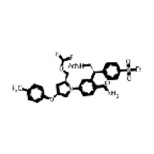 CCS(=O)(=O)c1ccc([C@@H](CNC(C)=O)c2cc(N3C[C@@H](Oc4ccc(C(F)(F)F)cc4)C[C@H]3COC(F)F)ccc2C(N)=O)cc1